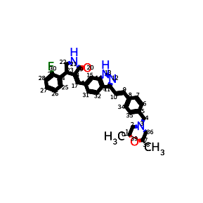 C[C@@H]1CN(Cc2ccc(/C=C/c3n[nH]c4cc(C=C5C(=O)NCC5c5ccccc5F)ccc34)cc2)C[C@H](C)O1